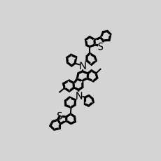 Cc1ccc2c(c1)c(N(c1ccccc1)c1cccc(-c3cccc4c3sc3ccccc34)c1)cc1c3ccc(C)cc3c(N(c3ccccc3)c3cccc(-c4cccc5c4sc4ccccc45)c3)cc21